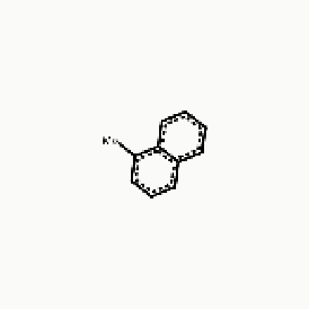 [Mo][c]1cccc2ccccc12